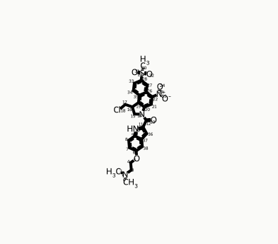 CN(C)CCOc1ccc2[nH]c(C(=O)N3CC(CCl)c4c3cc([N+](=O)[O-])c3cc(S(C)(=O)=O)ccc43)cc2c1